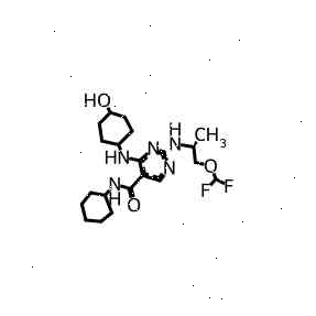 C[C@@H](COC(F)F)Nc1ncc(C(=O)NC2CCCCC2)c(NC2CCC(O)CC2)n1